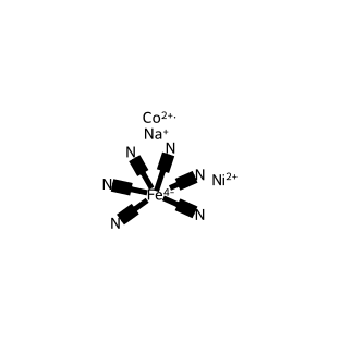 N#[C][Fe-4]([C]#N)([C]#N)([C]#N)([C]#N)[C]#N.[Co+2].[Na+].[Ni+2]